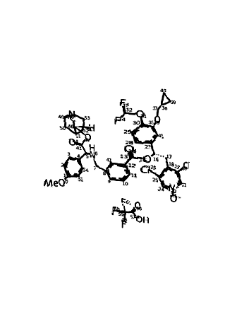 COc1ccc(C(NCc2cccc(C(=O)O[C@@H](Cc3c(Cl)c[n+]([O-])cc3Cl)c3ccc(OC(F)F)c(OCC4CC4)c3)c2)C(=O)O[C@H]2CN3CCC2CC3)cc1.O=C(O)C(F)(F)F